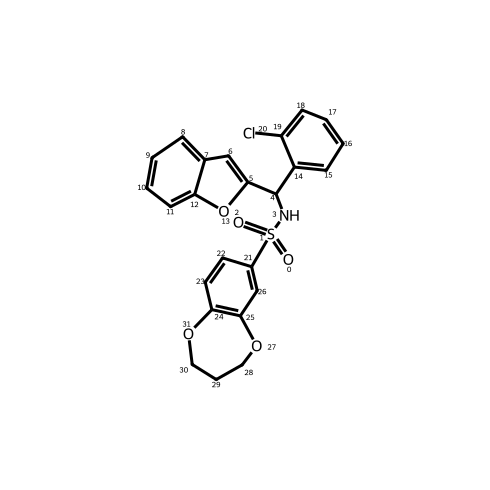 O=S(=O)(NC(c1cc2ccccc2o1)c1ccccc1Cl)c1ccc2c(c1)OCCCO2